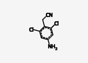 N#CCc1c(Cl)cc(N)cc1Cl